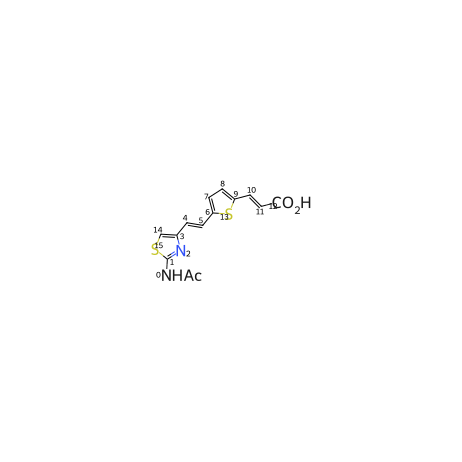 CC(=O)Nc1nc(C=Cc2ccc(C=CC(=O)O)s2)cs1